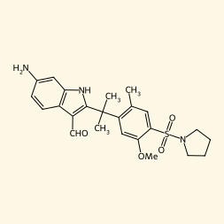 COc1cc(C(C)(C)c2[nH]c3cc(N)ccc3c2C=O)c(C)cc1S(=O)(=O)N1CCCC1